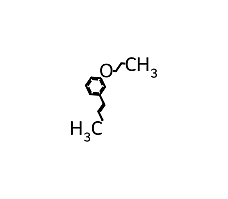 CC/C=C/c1cccc(OCCC)c1